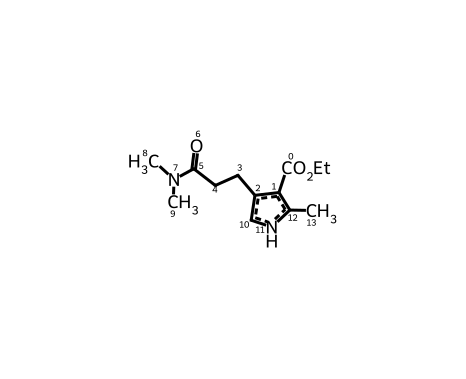 CCOC(=O)c1c(CCC(=O)N(C)C)c[nH]c1C